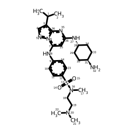 CC(C)c1cnn2c(Nc3ccc(S(=O)(=O)N(C)CCN(C)C)cc3)cc(N[C@H]3CC[C@H](N)CC3)nc12